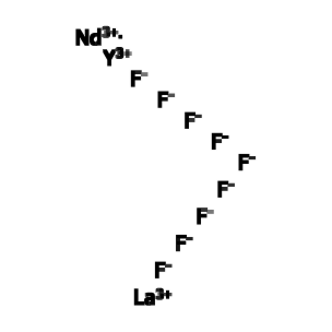 [F-].[F-].[F-].[F-].[F-].[F-].[F-].[F-].[F-].[La+3].[Nd+3].[Y+3]